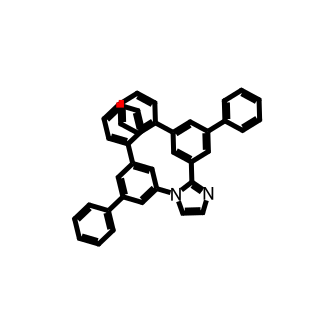 c1ccc(-c2cc(-c3ccccc3)cc(-c3nccn3-c3cc(-c4ccccc4)cc(-c4ccccc4)c3)c2)cc1